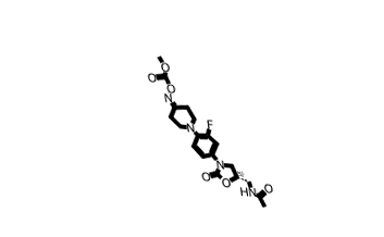 COC(=O)ON=C1CCN(c2ccc(N3C[C@H](CNC(C)=O)OC3=O)cc2F)CC1